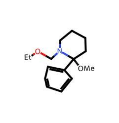 CCOCN1CCCCC1(OC)c1ccccc1